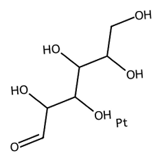 O=CC(O)C(O)C(O)C(O)CO.[Pt]